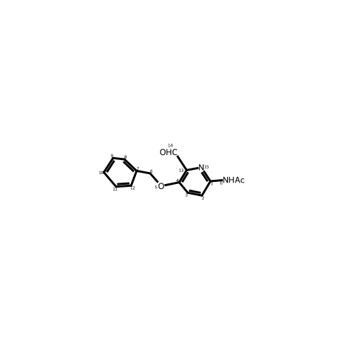 CC(=O)Nc1ccc(OCc2ccccc2)c(C=O)n1